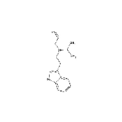 C=CCN(CCc1c[nH]c2ccccc12)C(C)C